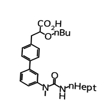 CCCCCCCNC(=O)N(C)c1cccc(-c2ccc(CC(OCCCC)C(=O)O)cc2)c1